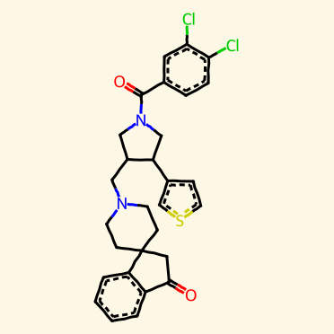 O=C1CC2(CCN(CC3CN(C(=O)c4ccc(Cl)c(Cl)c4)CC3c3ccsc3)CC2)c2ccccc21